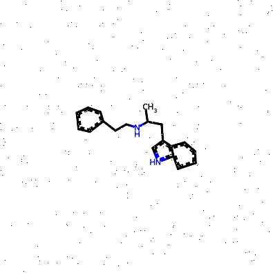 CC(Cc1c[nH]c2ccccc12)NCCc1ccccc1